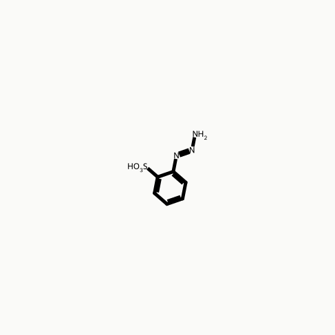 NN=Nc1ccccc1S(=O)(=O)O